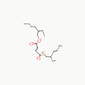 CCCCC(CC)COC(=O)CCC(=O)SCC(CC)CCCC